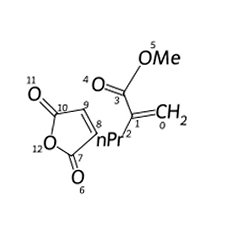 C=C(CCC)C(=O)OC.O=C1C=CC(=O)O1